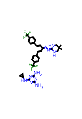 CC1(C)CNC(=NN=C(/C=C/c2ccc(C(F)(F)F)cc2)/C=C/c2ccc(C(F)(F)F)cc2)NC1.Nc1nc(N)nc(NC2CC2)n1